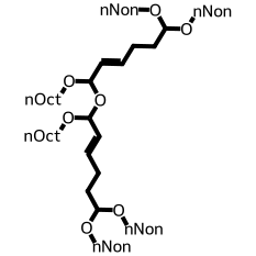 CCCCCCCCCOC(CCC=CC(OCCCCCCCC)OC(C=CCCC(OCCCCCCCCC)OCCCCCCCCC)OCCCCCCCC)OCCCCCCCCC